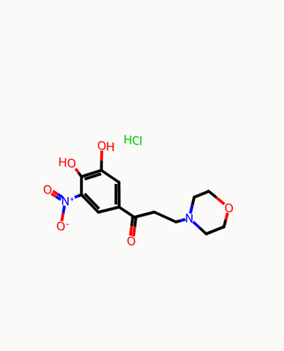 Cl.O=C(CCN1CCOCC1)c1cc(O)c(O)c([N+](=O)[O-])c1